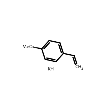 C=Cc1ccc(OC)cc1.[KH]